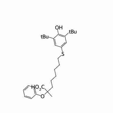 CC(CCCCCCSc1cc(C(C)(C)C)c(O)c(C(C)(C)C)c1)(Oc1ccccc1)C(=O)O